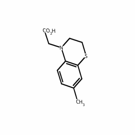 Cc1ccc2c(c1)SCCN2CC(=O)O